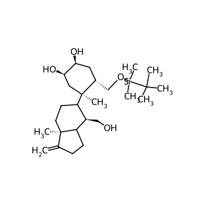 C=C1CCC2[C@H](CO)C([C@@]3(C)C[C@@H](O)[C@@H](O)C[C@@H]3CO[Si](C)(C)C(C)(C)C)CC[C@]12C